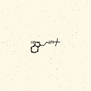 CC(C)(C)NCCCc1c[nH]c2ccccc12